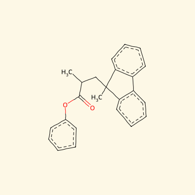 CC(CC1(C)c2ccccc2-c2ccccc21)C(=O)Oc1ccccc1